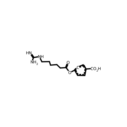 N=C(N)NCCCCCC(=O)Oc1ccc(C(=O)O)cc1